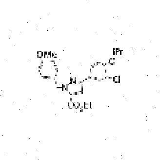 CCOC(=O)c1cc(C2=CC(Cl)C(OC(C)C)C=C2)nn1Cc1ccc(OC)cc1